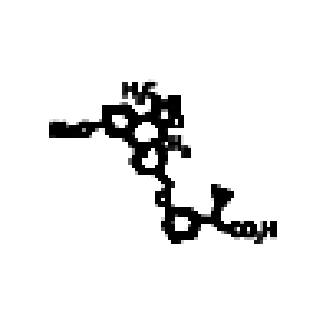 COc1ccc(-c2c(C)noc2C)c(N2CCC(COc3cccc(C(CC(=O)O)C4CC4)c3)CC2)c1